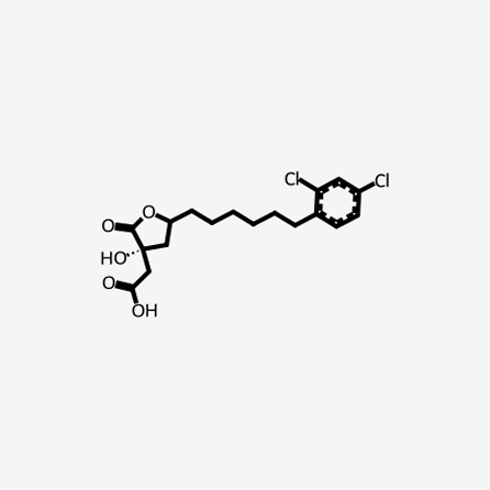 O=C(O)C[C@]1(O)CC(CCCCCCc2ccc(Cl)cc2Cl)OC1=O